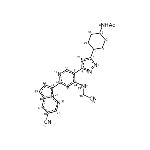 CC(=O)NC1CCC(c2nnc(-c3cnc(-c4ccc5cc(C#N)cnn45)cc3NCC#N)s2)CC1